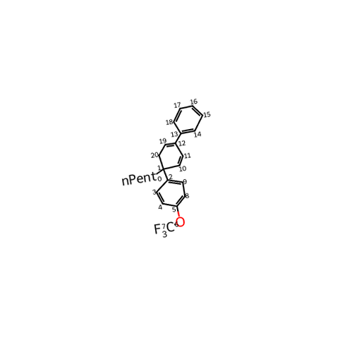 CCCCCC1(c2ccc(OC(F)(F)F)cc2)C=CC(c2ccccc2)=CC1